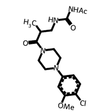 COc1cc(N2CCN(C(=O)C(C)CNC(=O)NC(C)=O)CC2)ccc1Cl